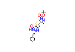 Cc1nn(C(=O)OC(C)(C)C)cc1-c1cc2nc(/C=C/c3ccccc3)[nH]c(=O)c2s1